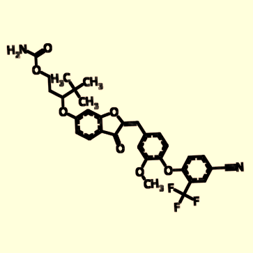 COc1cc(C=C2Oc3cc(OC(CCOC(N)=O)C(C)(C)C)ccc3C2=O)ccc1Oc1ccc(C#N)cc1C(F)(F)F